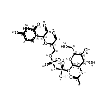 CC(=O)N[C@H]1[C@@H](OP(=O)(O)OP(=O)(O)OC[C@H](C=O)O[C@H](C=O)n2ccc(=O)[nH]c2=O)O[C@H](CO)[C@@H](O)[C@@H]1O